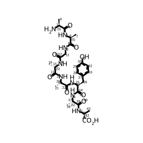 C[C@H](N)C(=O)N[C@@H](C)C(=O)NCC(=O)N[C@@H](C)C(=O)N[C@@H](C)C(=O)N[C@@H](Cc1ccc(O)cc1)C(=O)N[C@@H](C)C(=O)N[C@@H](C)C(=O)O